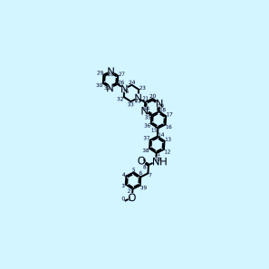 COc1cccc(CC(=O)Nc2ccc(-c3ccc4ncc(N5CCN(c6cnccn6)CC5)nc4c3)cc2)c1